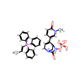 CC=C[P+](c1ccccc1)(c1ccccc1)c1ccccc1.Cn1cc(C2=CCN3CC2N(OS(=O)(=O)[O-])C3=O)ccc1=O